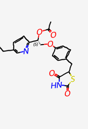 CCc1ccc([C@@H](COc2ccc(CC3SC(=O)NC3=O)cc2)OC(C)=O)nc1